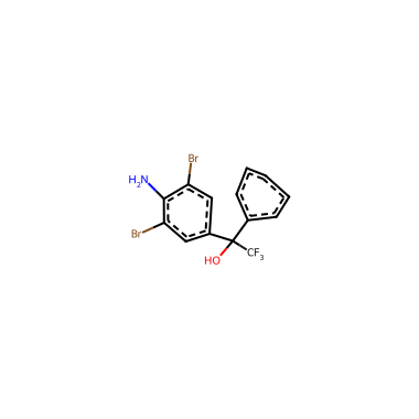 Nc1c(Br)cc(C(O)(c2ccccc2)C(F)(F)F)cc1Br